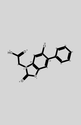 O=C(O)Cn1c(=O)oc2cc(-c3ccccc3)c(Cl)cc21